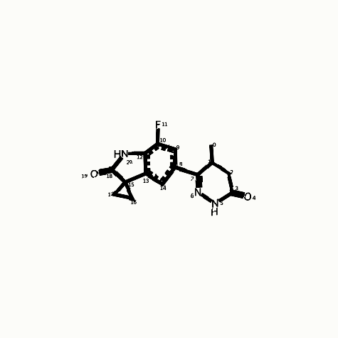 CC1CC(=O)NN=C1c1cc(F)c2c(c1)C1(CC1)C(=O)N2